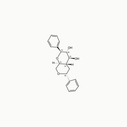 O[C@@H]1[C@@H](O)[C@H](c2ccccc2)O[C@@H]2CO[C@@H](c3ccccc3)C[C@@H]12